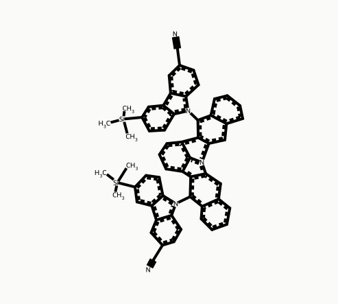 C[Si](C)(C)c1ccc2c(c1)c1cc(C#N)ccc1n2-c1c2ccccc2cc2c1c1cccc3c4c(-n5c6ccc(C#N)cc6c6cc([Si](C)(C)C)ccc65)c5ccccc5cc4n2c13